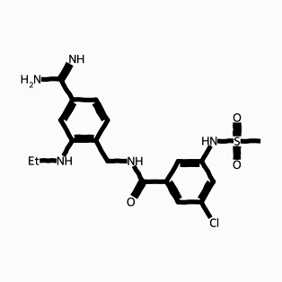 CCNc1cc(C(=N)N)ccc1CNC(=O)c1cc(Cl)cc(NS(C)(=O)=O)c1